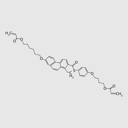 C=CC(=O)OCCCCCCOc1ccc2c(ccc3c(CC)c(C(=O)Sc4ccc(OCCCCOC(=O)C=C)cc4)ccc32)c1